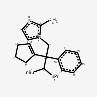 CCCCC(CCC)C(Cn1ccnc1C)(C1=CCCC1)c1ccccc1